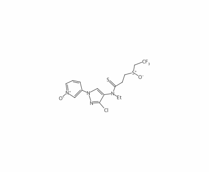 CCN(C(=S)CC[S+]([O-])CC(F)(F)F)c1cn(-c2ccc[n+]([O-])c2)nc1Cl